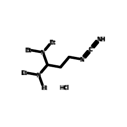 CCN(CC)C(CCN=C=N)N(CC)CC.Cl